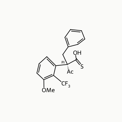 COc1cccc([C@](Cc2ccccc2)(C(C)=O)C(O)=S)c1C(F)(F)F